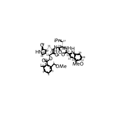 COCc1cccc(C)c1C(=O)OCC(=O)[C@H](C[C@@H]1CCNC1=O)NC(=O)[C@H](CC(C)C)NC(=O)c1cc2c(OC)cccc2[nH]1